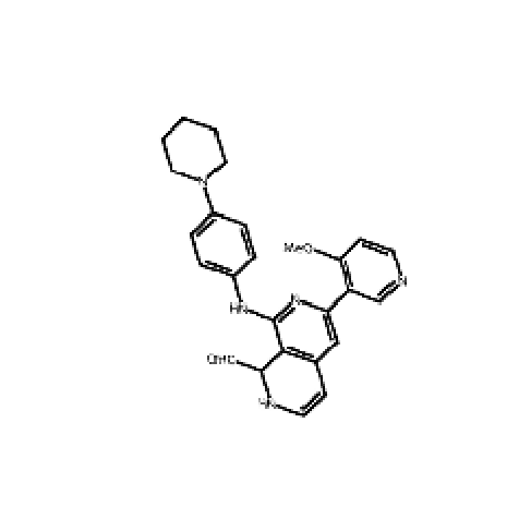 COc1ccncc1-c1cc2c(c(Nc3ccc(N4CCCCC4)cc3)n1)C(C=O)NC=C2